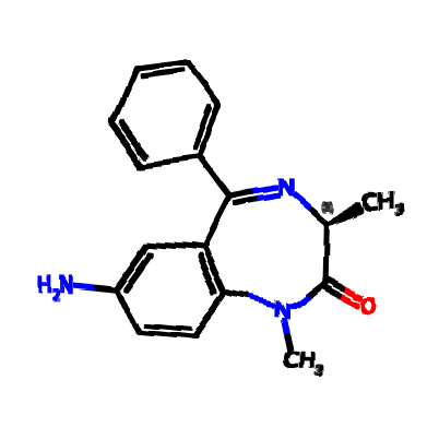 C[C@@H]1N=C(c2ccccc2)c2cc(N)ccc2N(C)C1=O